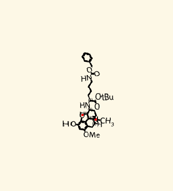 COc1cc(O)c2c3c1C[C@@H]1[C@@H]4CC[C@@H](N[C@@H](CCCCNC(=O)OCc5ccccc5)C(=O)OC(C)(C)C)[C@H](O2)[C@]34CCN1C